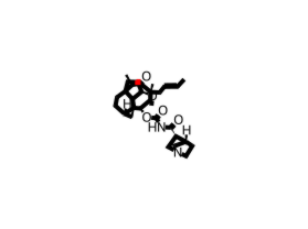 C/C=C/C[C@]1(C)C[C@@H](OC(=O)NC(=O)[C@H]2CN3CC[C@@H]2C3)[C@]23C[C@@H]2CCC2(CC[C@@H](OC)C23)[C@@H](C)C1=O